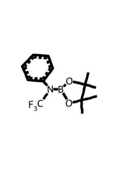 CC1(C)OB(N(c2ccccc2)C(F)(F)F)OC1(C)C